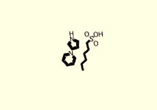 CCCCCCS(=O)(=O)O.c1cc[nH]c1.c1ccncc1